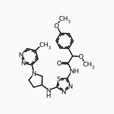 COc1ccc(C(OC)C(=O)Nc2nnc(NC3CCN(c4cc(C)cnn4)C3)s2)cc1